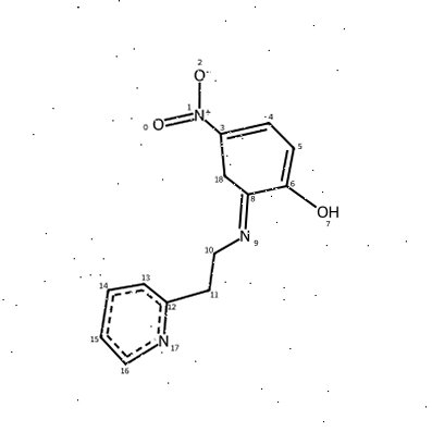 O=[N+]([O-])C1=CC=C(O)C(=NCCc2ccccn2)C1